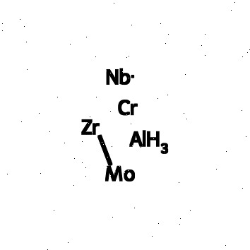 [AlH3].[Cr].[Nb].[Zr][Mo]